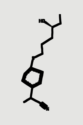 CC[C@@H](O)CCCSc1ccc(C(C)C#N)cc1